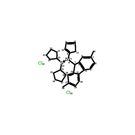 Cc1ccc2c(c1)[CH]([Zr+2]([C]1=CC=CC1)=[Si](C1CCCC1)C1CCCC1)c1cc(C)ccc1-2.[Cl-].[Cl-]